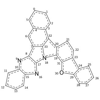 c1ccc2c(c1)cc1c3nc4ccccc4nc3n3c4c(ccc5c6ccccc6oc54)c2c13